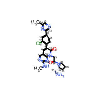 CNc1ncc2cc(-c3ccc(-c4cncc(C)n4)cc3Cl)c(=O)n(CC(=O)N3CCC[C@@H]3CN)c2n1